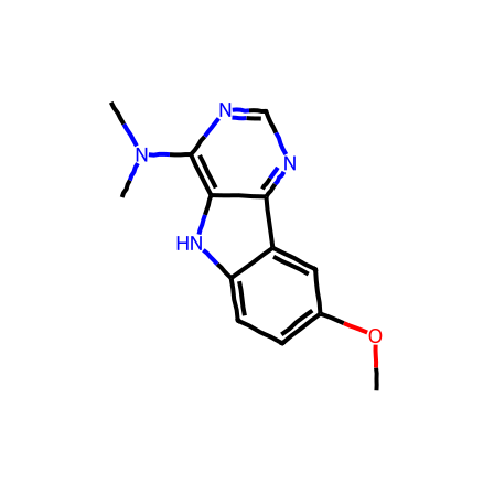 COc1ccc2[nH]c3c(N(C)C)ncnc3c2c1